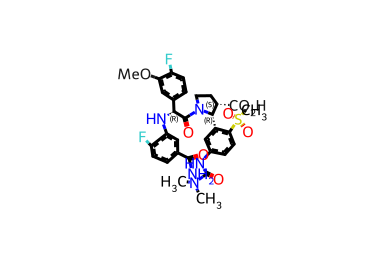 COc1cc([C@@H](Nc2cc(C(N)=O)ccc2F)C(=O)N2CC[C@H](C(=O)O)[C@@H]2c2cc(NC(=O)N(C)C)ccc2S(C)(=O)=O)ccc1F